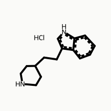 Cl.c1ccc2c(CCC3CCNCC3)c[nH]c2c1